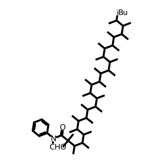 CCC(C)C(C)C(C)C(C)C(C)C(C)C(C)C(C)C(C)C(C)C(C)C(C)C(C)C(C)C(C)C(C)C(C)C(C)C(C)C(C)C(C)C(C)C(C)C(C)(C)C(=O)N(C=O)c1ccccc1